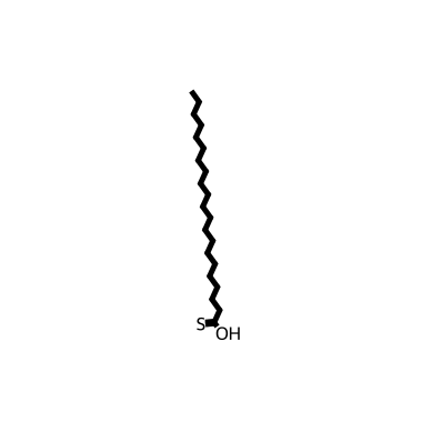 CCCCCCCCCCCCCCCCCCCCC(O)=S